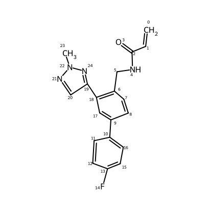 C=CC(=O)NCc1ccc(-c2ccc(F)cc2)cc1-c1cnn(C)n1